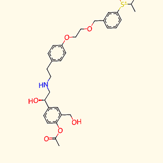 CC(=O)Oc1ccc([C@@H](O)CNCCc2ccc(OCCOCc3cccc([S+]([O-])C(C)C)c3)cc2)cc1CO